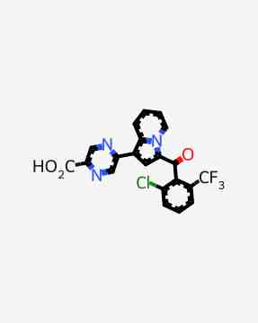 O=C(O)c1cnc(-c2cc(C(=O)c3c(Cl)cccc3C(F)(F)F)n3ccccc23)cn1